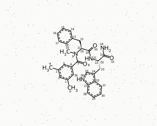 Cc1cc(C)cc(C(=O)N(C)[C@@H](Cc2ccccc2)C(=O)N[C@@H](Cc2c[nH]c3ccccc23)C(N)=O)c1